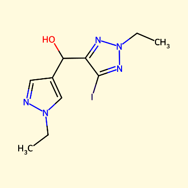 CCn1cc(C(O)c2nn(CC)nc2I)cn1